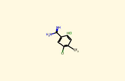 Cl.N=C(N)c1ccc(C(F)(F)F)c(Cl)c1